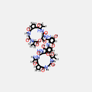 CC(C)C1NC(=O)C(NC(=O)c2cc(=O)cc3oc4cccc(C(=O)NC5C(=O)NC(C(C)C)C(=O)C6CCCC6C(=O)N(C)CC(=O)N(C)C(C(C)C)C(=O)OC5C)c4nc2-3)C(C)OC(=O)C(C(C)C)N(C)C(=O)CN(C)C(=O)C2CCCC2C1=O